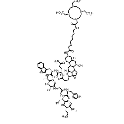 CSCC[C@H](NC(=O)[C@H](CC(C)C)NC(=O)[C@H](Cc1c[nH]cn1)NC(=O)CNC(=O)[C@@H](NC(=O)[C@H](C)NC(=O)[C@H](Cc1c[nH]c2ccccc12)NC(=O)[C@H](CCC(N)=O)NC(=O)CC[C@H]1O[C@H]2CC3C(C4CC[C@H]1[C@]42C)[C@H](O)C[C@@H]1C[C@@H](NC(=O)COCCOCCNC(=O)CN2CCN(CC(=O)O)CCN(CC(=O)O)CCN(CC(=O)O)CC2)CC[C@]31C)C(C)C)C(N)=O